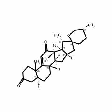 C[C@@H]1CC[C@]2(C[C@H]3C[C@H]4[C@@H]5CC[C@H]6CC(=O)CC[C@]6(C)C5=CC(=O)[C@]4(C)[C@H]3[C@@H]2C)OC1